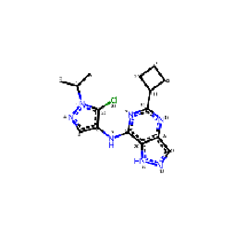 CC(C)n1ncc(Nc2nc(C3CCC3)nc3cn[nH]c23)c1Cl